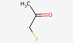 CC(=O)[CH]F